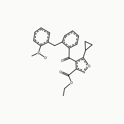 CCOC(=O)c1noc(C2CC2)c1C(=O)c1ccccc1Cc1ccccc1[S+](C)[O-]